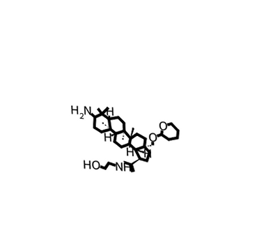 C=C(CNCCO)[C@@H]1CC[C@]2(COC3CCCCO3)CC[C@]3(C)[C@H](CC[C@@H]4[C@@]5(C)CCC(N)C(C)(C)[C@@H]5CC[C@]43C)[C@@H]12